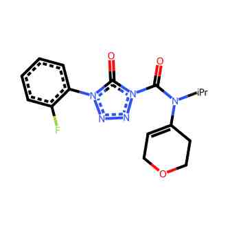 CC(C)N(C(=O)n1nnn(-c2ccccc2F)c1=O)C1=CCOCC1